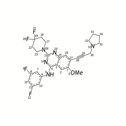 COc1cc2c(Nc3cc(F)cc(F)c3)nc(N3CCC(F)(F)CC3)nc2cc1C#CCN1CCCC1